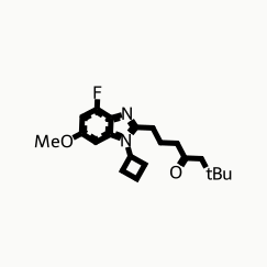 COc1cc(F)c2nc(CCCC(=O)CC(C)(C)C)n(C3CCC3)c2c1